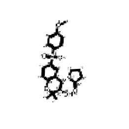 COc1ccc(S(=O)(=O)c2ccc3c(c2)[C@H](N2CCCC2=O)[C@@H](O)C(C)(C)O3)cc1